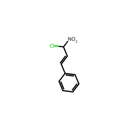 O=[N+]([O-])C(Cl)C=Cc1ccccc1